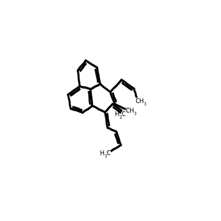 C=C/C(=C\C=C/C)c1cccc2cccc(C(/C=C\C)=C/C)c12